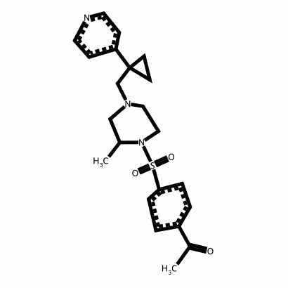 CC(=O)c1ccc(S(=O)(=O)N2CCN(CC3(c4ccncc4)CC3)CC2C)cc1